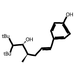 C[C@H](C/C=C/c1ccc(O)cc1)[C@@H](O)C(C(C)(C)C)C(C)(C)C